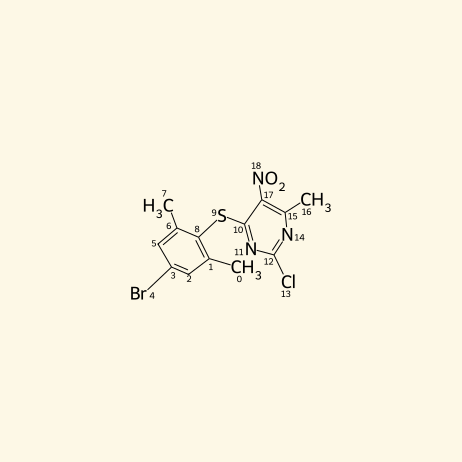 Cc1cc(Br)cc(C)c1Sc1nc(Cl)nc(C)c1[N+](=O)[O-]